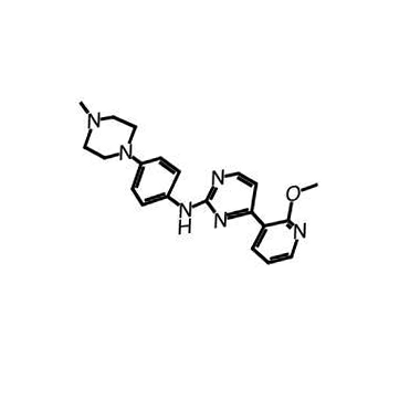 COc1ncccc1-c1ccnc(Nc2ccc(N3CCN(C)CC3)cc2)n1